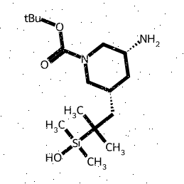 CC(C)(C)OC(=O)N1C[C@H](N)C[C@H](CC(C)(C)[Si](C)(C)O)C1